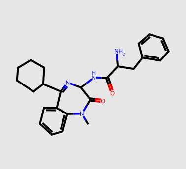 CN1C(=O)C(NC(=O)C(N)Cc2ccccc2)N=C(C2CCCCC2)c2ccccc21